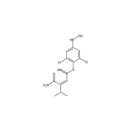 CC(C)/C(=C/C(=N)Oc1c(Cl)cc(BO)cc1Cl)C(N)=O